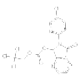 O=C(OCC(Cl)(Cl)Cl)OC1c2nccnc2C(=O)N1c1ccc(Cl)cn1